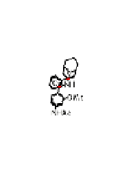 COc1cc(NC(C)=O)ccc1C(=O)NC1CC2CCCC(C1)N2Cc1ccccc1